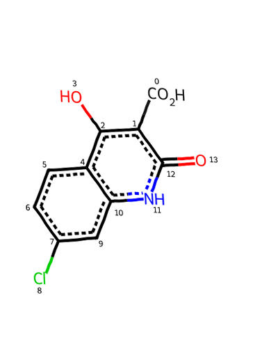 O=C(O)c1c(O)c2ccc(Cl)cc2[nH]c1=O